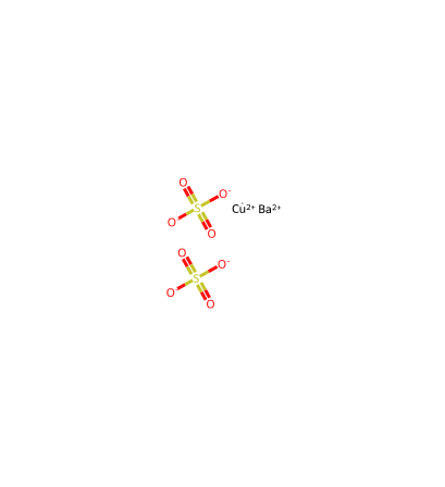 O=S(=O)([O-])[O-].O=S(=O)([O-])[O-].[Ba+2].[Cu+2]